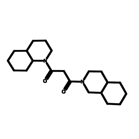 O=C(CC(=O)N1CCCC2CCCCC21)N1CCC2CCCCC2C1